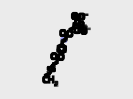 C=CCSSCCC(=O)Oc1ccc(/C=C/C(=O)OCC(CO[N+](=O)[O-])O[N+](=O)[O-])cc1